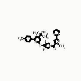 Cn1nc(-c2ncccn2)cc1C(=O)N1C[C@@H]2[C@H](C1)[C@@H]2Oc1cc(C(C)(C)N)cc(-c2ccc(C(F)(F)F)cc2)n1